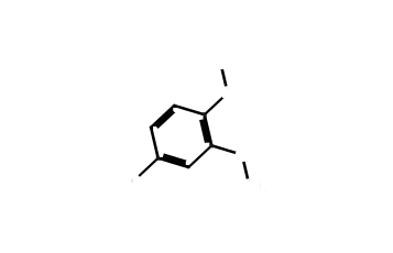 COc1cc(Br)ccc1SCl